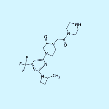 CC1CCN1c1nc(N2CCN(CC(=O)N3CCNCC3)C(=O)C2)cc(C(F)(F)F)n1